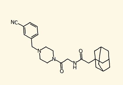 N#Cc1cccc(CN2CCN(C(=O)CNC(=O)CC34CC5CC(CC(C5)C3)C4)CC2)c1